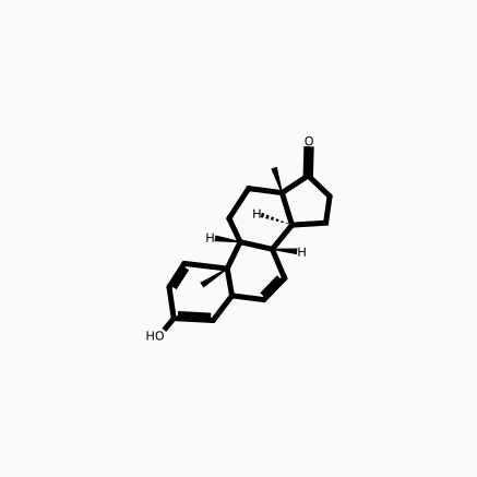 C[C@]12C=CC(O)=CC1C=C[C@@H]1[C@H]2CC[C@]2(C)C(=O)CC[C@@H]12